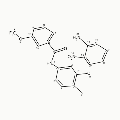 Cc1ccc(NC(=O)c2cccc(OC(F)(F)F)c2)cc1Oc1ccnc(N)c1[N+](=O)[O-]